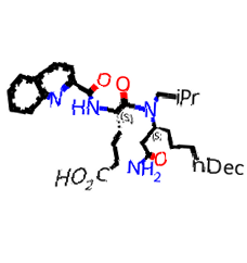 CCCCCCCCCCCCC[C@@H](CC(N)=O)N(CC(C)C)C(=O)[C@H](CCCC(=O)O)NC(=O)c1ccc2ccccc2n1